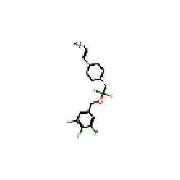 CC=C[C@H]1CC[C@H](CC(F)(F)OCc2cc(F)c(F)c(F)c2)CC1